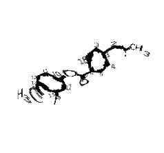 CCCc1ccc(C(=O)Oc2ccc(C)c(F)c2)cc1